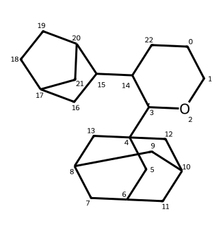 C1CO[C](C23CC4CC(CC(C4)C2)C3)C(C2CC3CCC2C3)C1